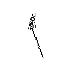 CCCCCCCCCC=CC=CC=CC=CC=CC=CC(=O)NC(C)OC(=O)c1ccc(Cl)cc1